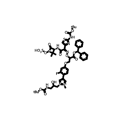 C[n+]1cc(-c2ccc(OCC(O/N=C(\C(=O)N[C@@H]3C(=O)N(OS(=O)(=O)O)C3(C)C)c3csc(NC(=O)OC(C)(C)C)n3)C(=O)OC(c3ccccc3)c3ccccc3)cc2F)cn1CC(O)CNC(=O)OC(C)(C)C